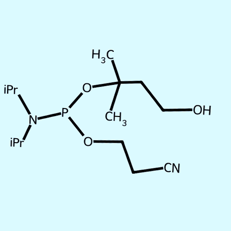 CC(C)N(C(C)C)P(OCCC#N)OC(C)(C)CCO